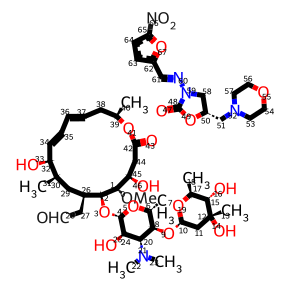 CO[C@@H]1[C@@H](O[C@@H]2O[C@H](C)[C@@H](O[C@H]3C[C@@](C)(O)[C@@H](O)[C@H](C)O3)[C@H](N(C)C)[C@H]2O)[C@@H](CC=O)C[C@@H](C)[C@@H](O)/C=C/C=C/C[C@@H](C)OC(=O)C[C@H]1O.O=C1O[C@@H](CN2CCOCC2)CN1/N=C/c1ccc([N+](=O)[O-])o1